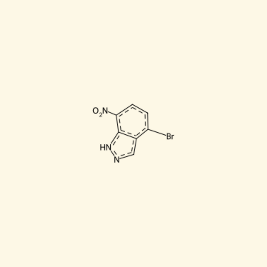 O=[N+]([O-])c1ccc(Br)c2cn[nH]c12